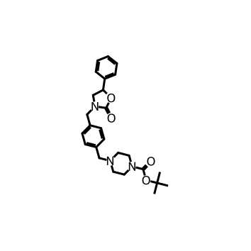 CC(C)(C)OC(=O)N1CCN(Cc2ccc(CN3CC(c4ccccc4)OC3=O)cc2)CC1